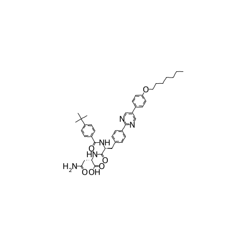 CCCCCCCOc1ccc(-c2cnc(-c3ccc(C[C@H](NC(=O)c4ccc(C(C)(C)C)cc4)C(=O)N[C@@H](CC(N)=O)C(=O)O)cc3)nc2)cc1